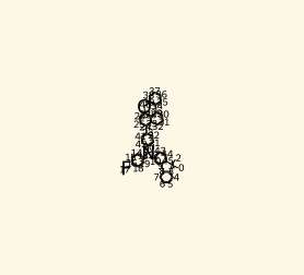 CC1(C)c2ccccc2-c2cc(N(c3ccc(F)cc3)c3ccc(-c4ccc5c6c(cccc46)-c4ccccc4O5)cc3)ccc21